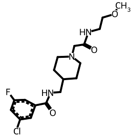 COCCNC(=O)CN1CCC(CNC(=O)c2cc(F)cc(Cl)c2)CC1